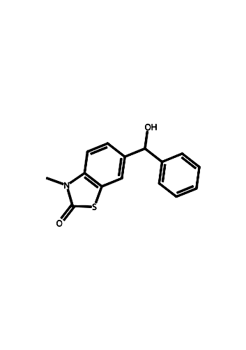 Cn1c(=O)sc2cc(C(O)c3ccccc3)ccc21